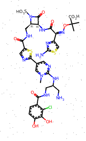 C[n+]1cc(-c2ncc(C(=O)NC[C@@H]3[C@H](NC(=O)/C(=N\OC(C)(C)C(=O)O)c4csc(N)n4)C(=O)N3S(=O)(=O)O)s2)cnc1NC(CN)CNC(=O)c1ccc(O)c(O)c1Cl